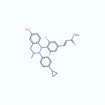 COC(=O)/C=C/c1cc(F)c(C2c3ccc(O)cc3CC(C)N2c2ccc(C3CC3)cc2)c(F)c1